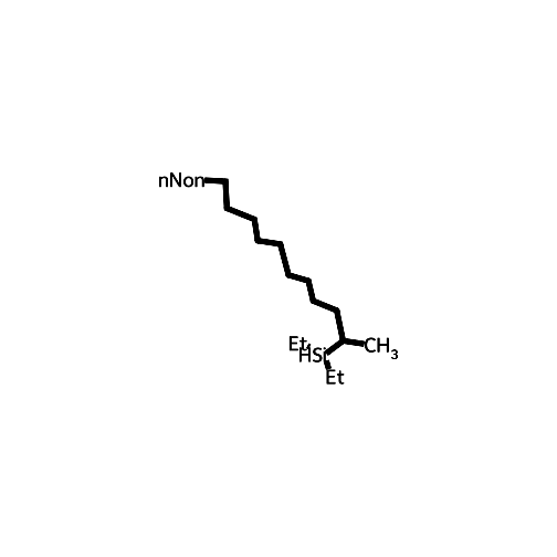 CCCCCCCCCCCCCCCCCCC(C)[SiH](CC)CC